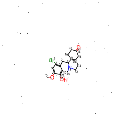 COc1cc(Br)c(CC2C3=C(CCN2C)CC(=O)CC3)cc1O